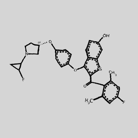 Cc1cc(F)cc(C)c1C(=O)c1sc2cc(O)ccc2c1Oc1ccc(O[C@H]2CCN(C3CC3F)C2)cc1